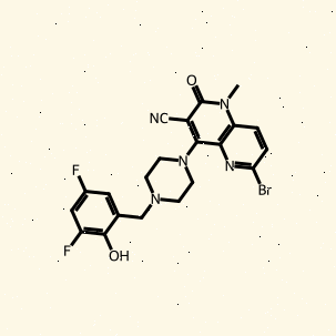 Cn1c(=O)c(C#N)c(N2CCN(Cc3cc(F)cc(F)c3O)CC2)c2nc(Br)ccc21